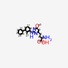 COc1cc(CC[C@H](N)C(=O)O)nc(Nc2cccc(-c3ccccc3)c2C)n1